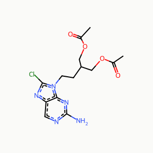 CC(=O)OCC(CCn1c(Cl)nc2cnc(N)nc21)COC(C)=O